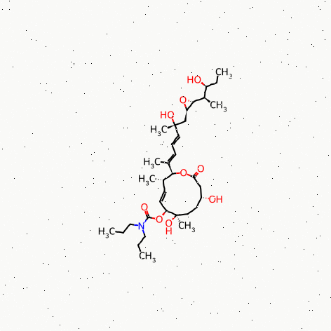 CCCN(CCC)C(=O)O[C@H]1/C=C/[C@H](C)[C@@H](/C(C)=C/C=C/[C@](C)(O)C[C@H]2O[C@@H]2[C@H](C)[C@@H](O)CC)OC(=O)C[C@H](O)CC[C@@]1(C)O